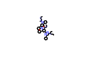 C=C/C=C(\C=C)c1cc(-c2ccccc2)nc(-c2cc(C(/C=C\C)=C/C)c(-n3c4ccccc4c4cc5c(cc43)c3ccccc3n5/C(C)=C/C=C\C)c(-c3ccccc3)c2)n1